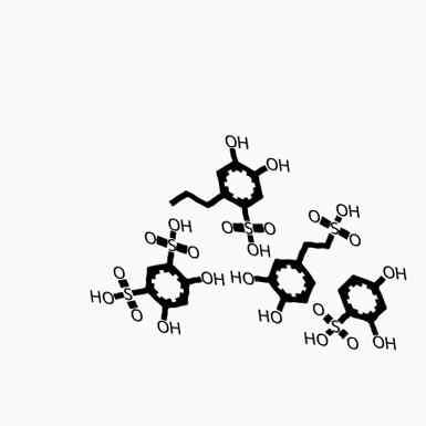 CCCc1cc(O)c(O)cc1S(=O)(=O)O.O=S(=O)(O)CCc1ccc(O)c(O)c1.O=S(=O)(O)c1cc(S(=O)(=O)O)c(O)cc1O.O=S(=O)(O)c1ccc(O)cc1O